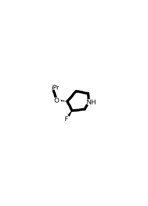 CC(C)O[C@@H]1CCNC[C@H]1F